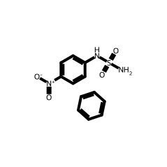 NS(=O)(=O)Nc1ccc([N+](=O)[O-])cc1.c1ccccc1